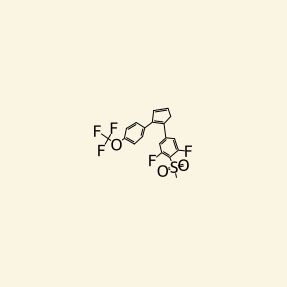 CS(=O)(=O)c1c(F)cc(C2=C(c3ccc(OC(F)(F)F)cc3)C=CC2)cc1F